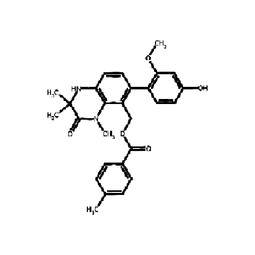 COc1cc(O)ccc1-c1ccc2c(c1COC(=O)c1ccc(C)cc1)N(C)C(=O)C(C)(C)N2